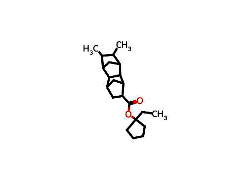 CCC1(OC(=O)C2CC3CC2C2C4CC(C(C)C4C)C32)CCCC1